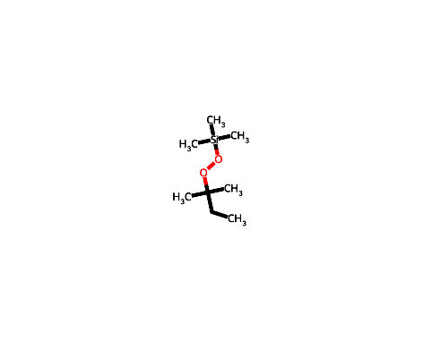 CCC(C)(C)OO[Si](C)(C)C